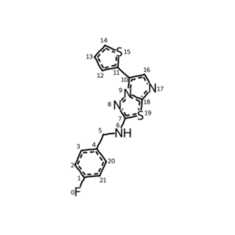 Fc1ccc(CNc2nn3c(-c4cccs4)cnc3s2)cc1